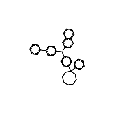 c1ccc(-c2ccc(N(c3ccc(C4(c5ccccc5)CCCCCCC4)cc3)c3ccc4ccccc4c3)cc2)cc1